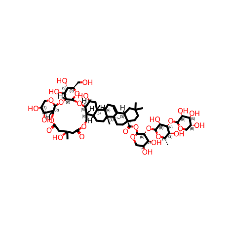 C[C@@H]1OC(O[C@H]2C(OC(=O)[C@]34CCC(C)(C)C[C@H]3C3=CC[C@@H]5[C@@]6(C)C[C@H](O)[C@@H]7OC8O[C@H](CO)[C@@H](O)[C@H](O)[C@H]8OC8OC[C@H](O)[C@H](O)[C@H]8OC(=O)CC(C)(O)CC(=O)OC[C@H]7[C@@H]6CC[C@@]5(C)[C@]3(C)CC4)OC[C@H](O)[C@@H]2O)[C@H](O)[C@H](OC2OC[C@@H](O)[C@H](O)[C@H]2O)[C@H]1O